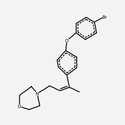 CC(=CCN1CCOCC1)c1ccc(Oc2ccc(Br)cc2)cc1